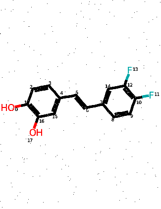 Oc1ccc(C=Cc2ccc(F)c(F)c2)cc1O